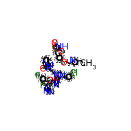 CCc1ccc(CCOc2ccc(CC3SC(=O)NC3=O)cc2)nc1.O=c1n(CCCN2CCN(c3cccc(Cl)c3)CC2)nc2ccccn12.OC(Cn1cncn1)(Cn1cncn1)c1ccc(F)cc1F